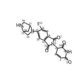 O=C1C=CC(N2C(=O)c3cc(F)c(N4CC5CC4CN5)cc3C2=O)C(=O)N1